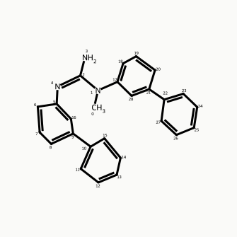 CN(C(N)=Nc1cccc(-c2ccccc2)c1)c1cccc(-c2ccccc2)c1